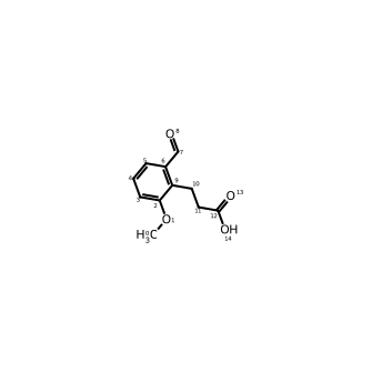 COc1cccc(C=O)c1CCC(=O)O